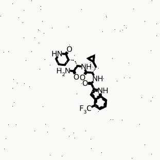 NC(=O)[C@H](C[C@@H]1CCCNC1=O)NC(=O)[C@H](CC1CC1)NC(=O)c1cc2c(C(F)(F)F)cccc2[nH]1